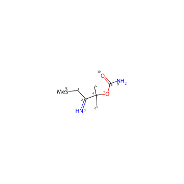 CSCC(=N)C(C)(C)OC(N)=O